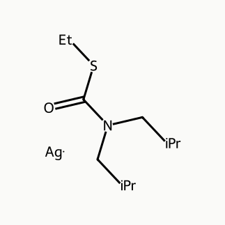 CCSC(=O)N(CC(C)C)CC(C)C.[Ag]